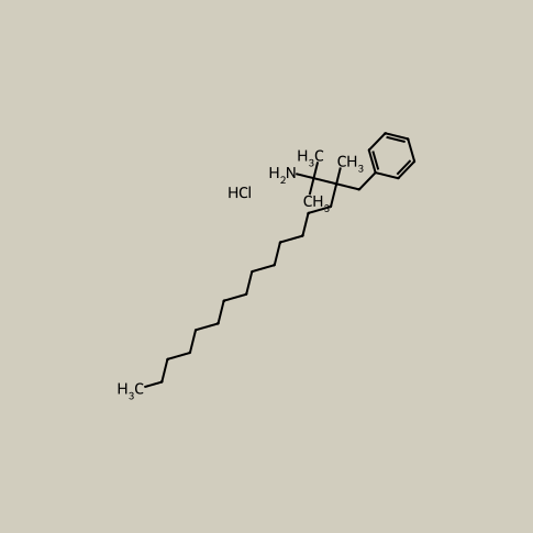 CCCCCCCCCCCCCCC(C)(Cc1ccccc1)C(C)(C)N.Cl